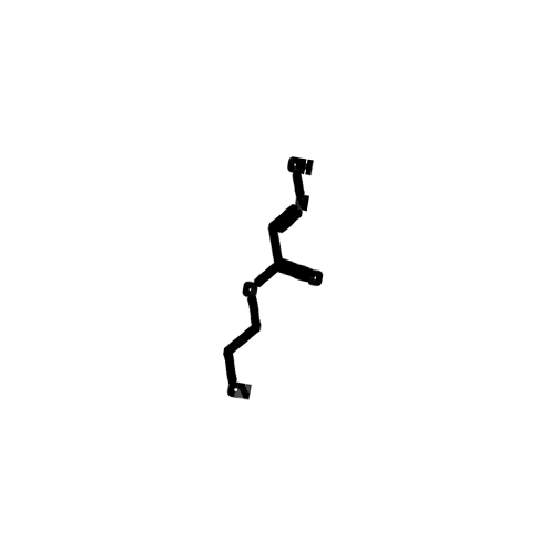 N#CCCOC(=O)C=NO